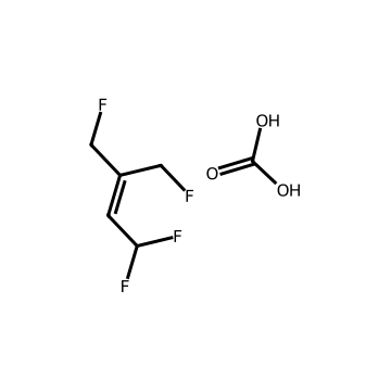 FCC(=CC(F)F)CF.O=C(O)O